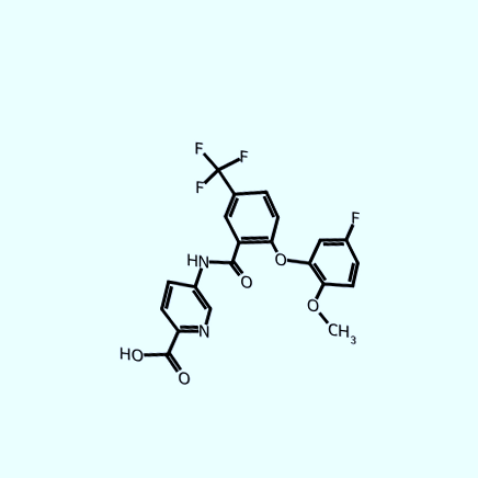 COc1ccc(F)cc1Oc1ccc(C(F)(F)F)cc1C(=O)Nc1ccc(C(=O)O)nc1